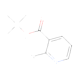 C[Si](C)(C)OC(=O)c1cccnc1[N+](=O)[O-]